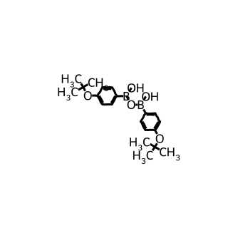 CC(C)(C)Oc1ccc(B(O)OB(O)c2ccc(OC(C)(C)C)cc2)cc1